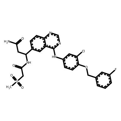 CS(=O)(=O)CC(=O)NC(CC(N)=O)c1ccc2ncnc(Nc3ccc(OCc4cccc(F)c4)c(Cl)c3)c2c1